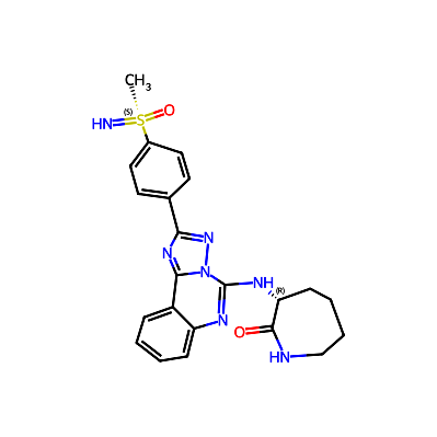 C[S@](=N)(=O)c1ccc(-c2nc3c4ccccc4nc(N[C@@H]4CCCCNC4=O)n3n2)cc1